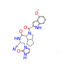 COc1cccc2[nH]c(C(=O)N3CC4CCCC4C3C(=O)NC(C#N)Cn3cc[nH]c3=O)cc12